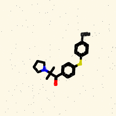 COc1ccc(Sc2ccc(C(=O)C(C)(C)N3CCCC3)cc2)cc1